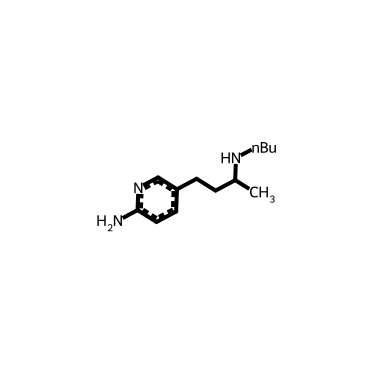 CCCCNC(C)CCc1ccc(N)nc1